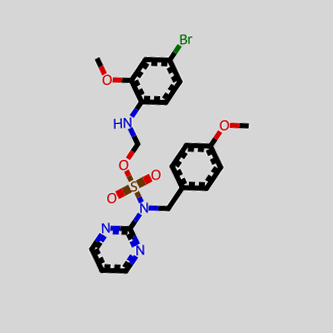 COc1ccc(CN(c2ncccn2)S(=O)(=O)OCNc2ccc(Br)cc2OC)cc1